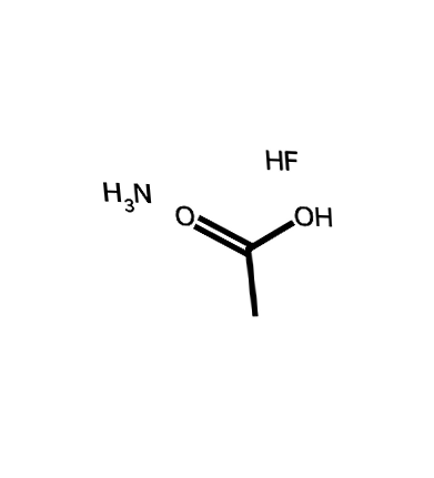 CC(=O)O.F.N